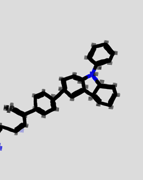 C=C(/C=C\C=C/N)c1ccc(-c2ccc3c(c2)c2ccccc2n3-c2ccccc2)cc1